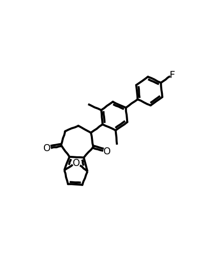 Cc1cc(-c2ccc(F)cc2)cc(C)c1C1CCC(=O)c2c(c3ccc2o3)C1=O